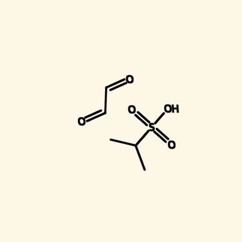 CC(C)S(=O)(=O)O.O=CC=O